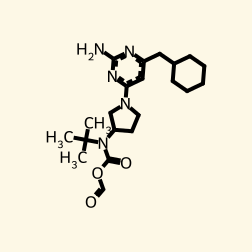 CC(C)(C)N(C(=O)OC=O)C1CCN(c2cc(CC3CCCCC3)nc(N)n2)C1